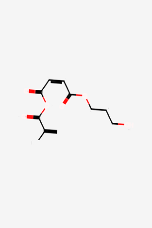 C=C(C)C(=O)OC(=O)/C=C\C(=O)OCCCO